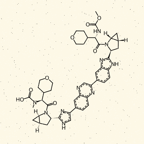 COC(=O)N[C@H](C(=O)N1[C@@H]2C[C@@H]2C[C@H]1c1nc2cc(-c3cnc4cc(-c5c[nH]c([C@@H]6C[C@H]7C[C@H]7N6C(=O)[C@H](C6CCOCC6)N(C)C(=O)O)n5)ccc4n3)ccc2[nH]1)C1CCOCC1